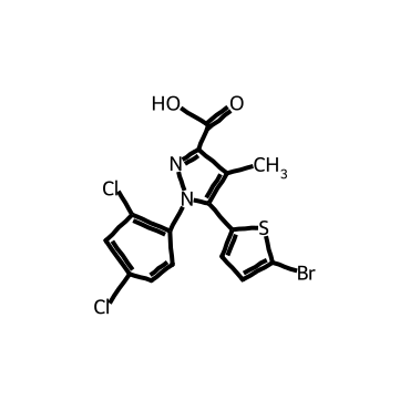 Cc1c(C(=O)O)nn(-c2ccc(Cl)cc2Cl)c1-c1ccc(Br)s1